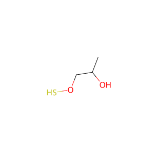 CC(O)COS